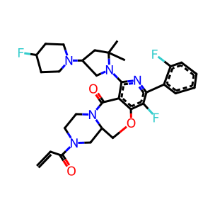 C=CC(=O)N1CCN2C(=O)c3c(N4CC(N5CCC(F)CC5)CC4(C)C)nc(-c4ccccc4F)c(F)c3OCC2C1